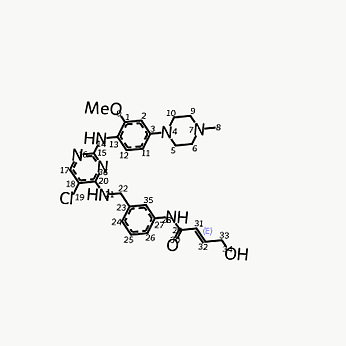 COc1cc(N2CCN(C)CC2)ccc1Nc1ncc(Cl)c(NCc2cccc(NC(=O)/C=C/CO)c2)n1